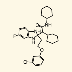 O=C(NC1CCCCC1)C(C1CCCCC1)C1(CCOc2cccc(Cl)c2)Nc2ccc(F)cc2N1